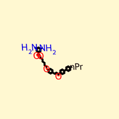 CCCc1ccc(-c2ccc(C(=O)/C=C/c3ccc(OCCCCCCOC(=O)c4cc(N)cc(N)c4)cc3)cc2)cc1